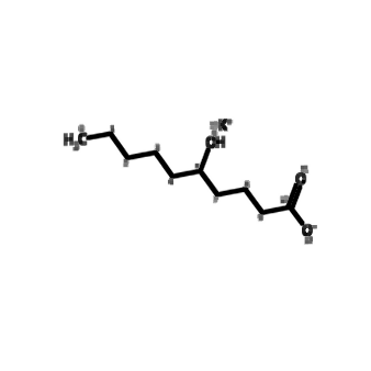 CCCCCC(O)CCCC(=O)[O-].[K+]